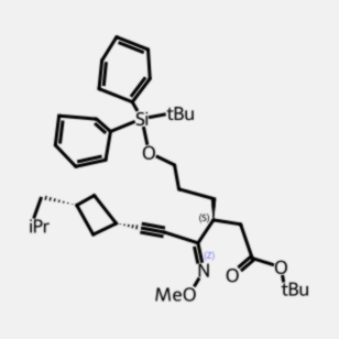 CO/N=C(\C#C[C@H]1C[C@@H](CC(C)C)C1)[C@@H](CCCO[Si](c1ccccc1)(c1ccccc1)C(C)(C)C)CC(=O)OC(C)(C)C